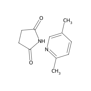 Cc1ccc(C)nc1.O=C1CCC(=O)N1